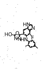 Cc1ccc(Nc2c(-c3nnc(O)o3)cc3[nH]cnc3c2F)c(C)c1